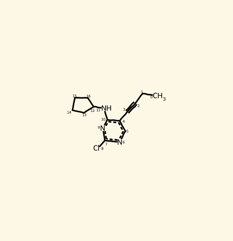 CCC#Cc1cnc(Cl)nc1NC1CCCC1